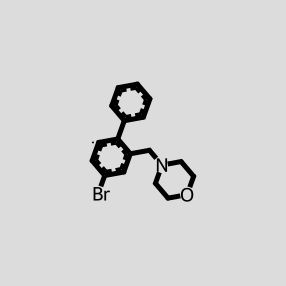 Brc1c[c]c(-c2ccccc2)c(CN2CCOCC2)c1